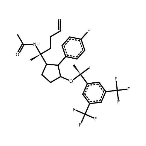 C=CCC[C@@](C)(NC(C)=O)C1CCC(O[C@](C)(I)c2cc(C(F)(F)F)cc(C(F)(F)F)c2)C1c1ccc(F)cc1